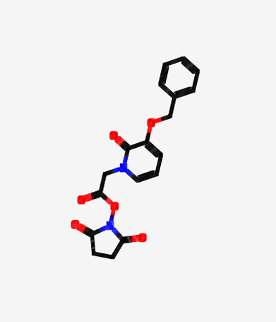 O=C(Cn1cccc(OCc2ccccc2)c1=O)ON1C(=O)CCC1=O